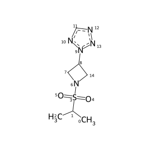 CC(C)S(=O)(=O)N1CC(n2ncnn2)C1